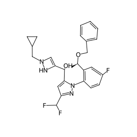 C[C@@H](OCc1ccccc1)c1cc(F)ccc1-n1nc(C(F)F)cc1C(O)c1cn(CC2CC2)[nH]1